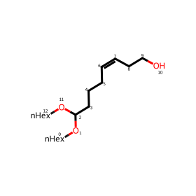 CCCCCCOC(CCC/C=C\CCO)OCCCCCC